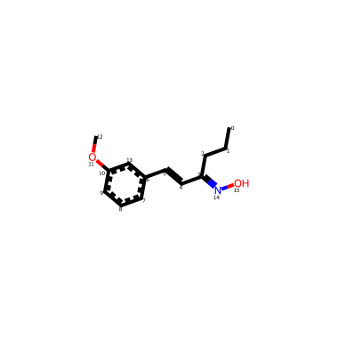 CCCC(/C=C/c1cccc(OC)c1)=N\O